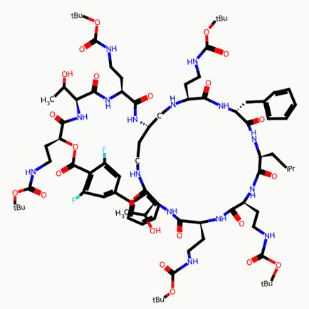 CC(C)C[C@@H]1NC(=O)[C@@H](Cc2ccccc2)NC(=O)[C@H](CCNC(=O)OC(C)(C)C)NC[C@@H](NC(=O)[C@H](CCNC(=O)OC(C)(C)C)NC(=O)[C@@H](NC(=O)[C@H](CCNC(=O)OC(C)(C)C)OC(=O)c2c(F)cc(-c3ccccc3)cc2F)C(C)O)CCNC(=O)[C@H](C(C)O)NC(=O)[C@H](CCNC(=O)OC(C)(C)C)NC(=O)[C@H](CCNC(=O)OC(C)(C)C)NC1=O